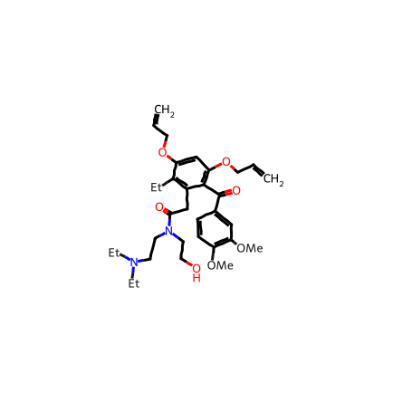 C=CCOc1cc(OCC=C)c(C(=O)c2ccc(OC)c(OC)c2)c(CC(=O)N(CCO)CCN(CC)CC)c1CC